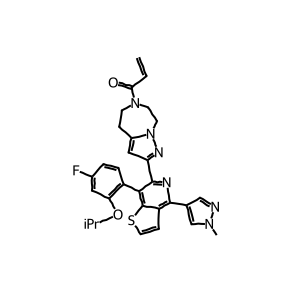 C=CC(=O)N1CCc2cc(-c3nc(-c4cnn(C)c4)c4ccsc4c3-c3ccc(F)cc3OC(C)C)nn2CC1